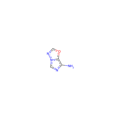 Nc1ncn2ncoc12